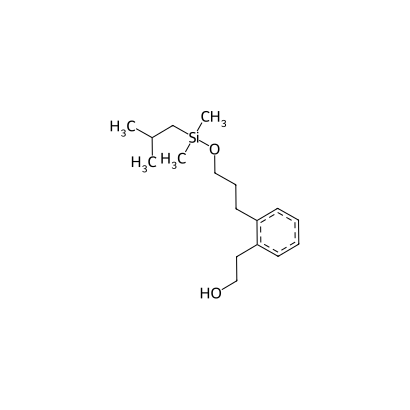 CC(C)C[Si](C)(C)OCCCc1ccccc1CCO